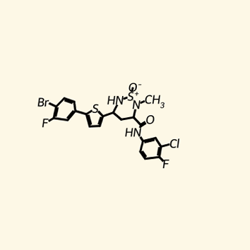 CN1C(C(=O)Nc2ccc(F)c(Cl)c2)CC(c2ccc(-c3ccc(Br)c(F)c3)s2)N[S+]1[O-]